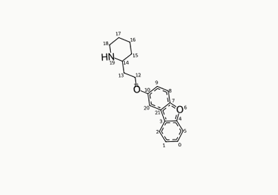 c1ccc2c(c1)oc1ccc(OCCC3CCCCN3)cc12